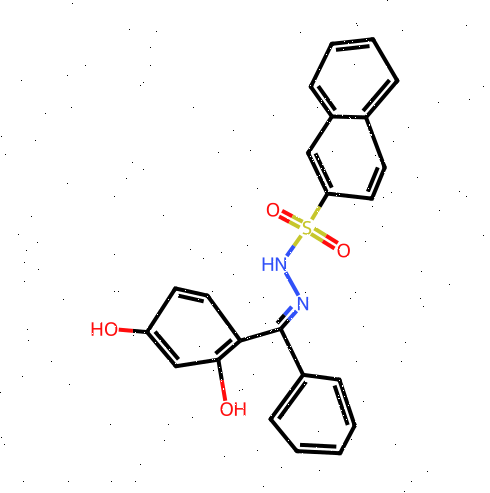 O=S(=O)(N/N=C(/c1ccccc1)c1ccc(O)cc1O)c1ccc2ccccc2c1